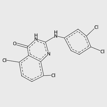 O=c1[nH]c(Nc2ccc(Cl)c(Cl)c2)nc2c(Cl)ccc(Cl)c12